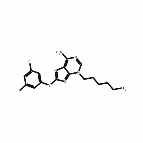 Nc1ncn(CCCCCC(F)(F)F)c2nc(Sc3cc(Cl)cc(Cl)c3)nc1-2